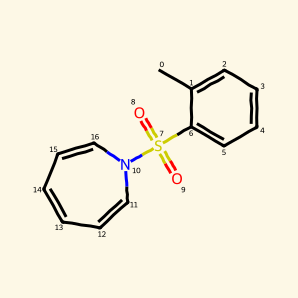 Cc1ccccc1S(=O)(=O)N1C=CC=CC=C1